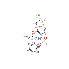 CS(=O)(=O)N(c1ccc2sc(F)cc2c1)[C@@H](C(=O)NO)c1ccccc1